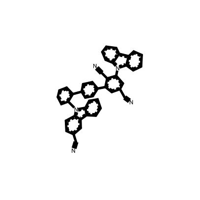 N#Cc1cc(-c2ccc(-c3ccccc3-n3c4ccccc4c4cc(C#N)ccc43)cc2)c(C#N)c(-n2c3ccccc3c3ccccc32)c1